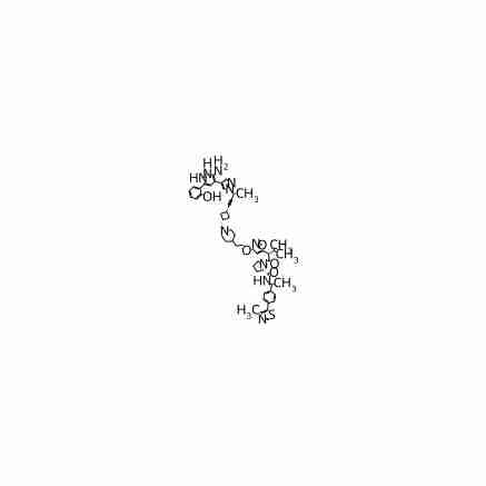 Cc1ncsc1-c1ccc([C@H](C)NC(=O)[C@@H]2CCCN2C(=O)[C@@H](c2cc(OCCC3CCN(C[C@H]4C[C@H](C#CC(C)n5cc(C6=C(N)NNC(c7ccccc7O)=C6)cn5)C4)CC3)no2)C(C)C)cc1